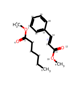 CCCCCC(=O)OC.COC(=O)/C=C/c1ccccc1